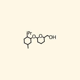 CC1CCC(C(C)C)C(OC2CCCC(CO)O2)C1